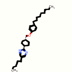 CCCCCCCCCc1ccc(OC[C@H]2CC[C@H](c3ncc(CCCCC)cn3)CC2)cc1